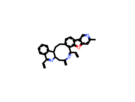 C=CC1=NC2CC(=C)/N=C(/C=C)c3c(ccc4c3oc3cc(C)ncc34)CCC2c2ccccc21